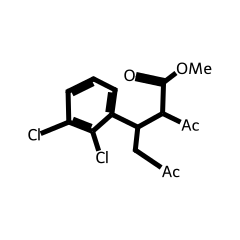 COC(=O)C(C(C)=O)C(CC(C)=O)c1cccc(Cl)c1Cl